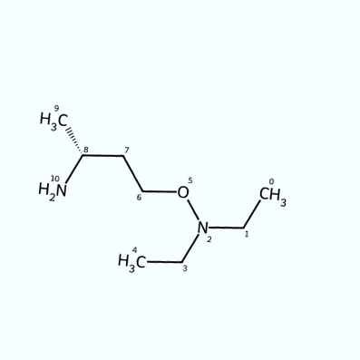 CCN(CC)OCC[C@@H](C)N